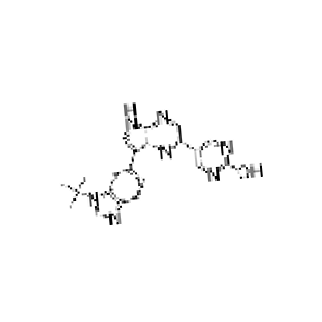 CC(C)(C)n1cnc2ccc(-c3c[nH]c4ncc(-c5cnc(O)nc5)nc34)cc21